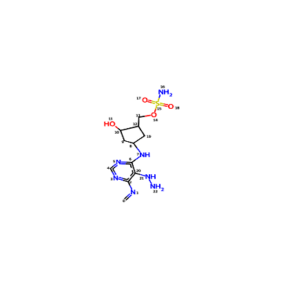 C=Nc1ncnc(NC2CC(O)C(COS(N)(=O)=O)C2)c1NN